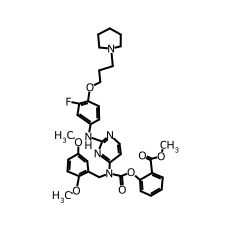 COC(=O)c1ccccc1OC(=O)N(Cc1cc(OC)ccc1OC)c1ccnc(Nc2ccc(OCCCN3CCCCC3)c(F)c2)n1